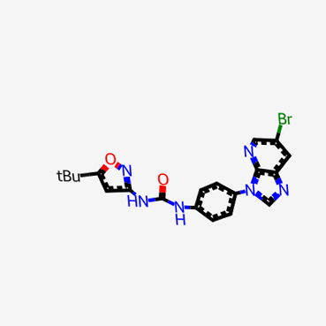 CC(C)(C)c1cc(NC(=O)Nc2ccc(-n3cnc4cc(Br)cnc43)cc2)no1